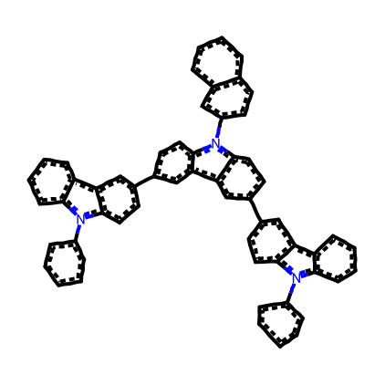 c1ccc(-n2c3ccccc3c3cc(-c4ccc5c(c4)c4cc(-c6ccc7c(c6)c6ccccc6n7-c6ccccc6)ccc4n5-c4ccc5ccccc5c4)ccc32)cc1